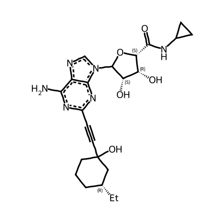 CC[C@@H]1CCCC(O)(C#Cc2nc(N)c3ncn(C4O[C@H](C(=O)NC5CC5)[C@H](O)[C@@H]4O)c3n2)C1